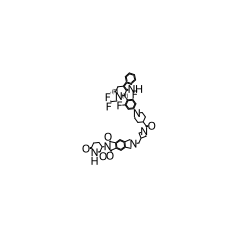 C[C@@H]1Cc2c([nH]c3ccccc23)[C@@H](c2c(F)cc(N3CCC(C(=O)N4CC(CN5Cc6cc7c(cc6C5)C(=O)N(C5CCC(=O)NC5=O)C7=O)C4)CC3)cc2F)N1CC(F)F